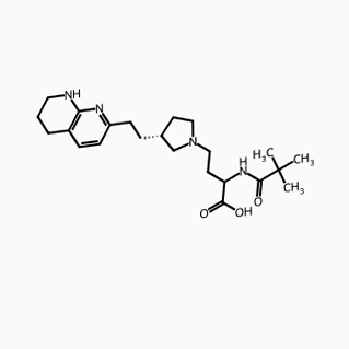 CC(C)(C)C(=O)NC(CCN1CC[C@@H](CCc2ccc3c(n2)NCCC3)C1)C(=O)O